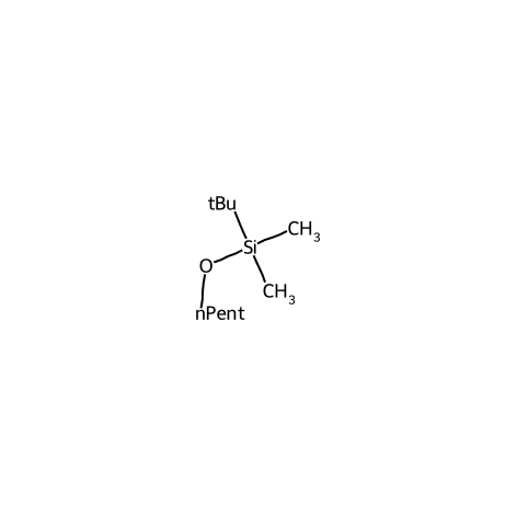 CCCCCO[Si](C)(C)C(C)(C)C